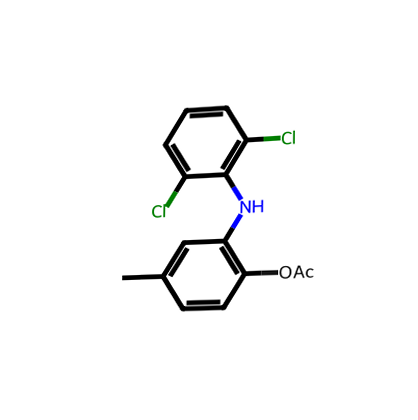 CC(=O)Oc1ccc(C)cc1Nc1c(Cl)cccc1Cl